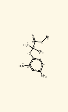 CC(C)(Oc1ccc(N)cc1[N+](=O)[O-])C(=O)CBr